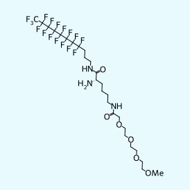 COCCOCCOCCOCC(=O)NCCCC[C@H](N)C(=O)NCCCC(F)(F)C(F)(F)C(F)(F)C(F)(F)C(F)(F)C(F)(F)C(F)(F)C(F)(F)F